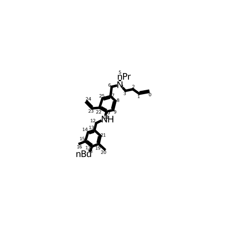 C=CCCN(CCC)Cc1ccc(NCc2cc(C)c(CCCC)c(C)c2)c(C=C)c1